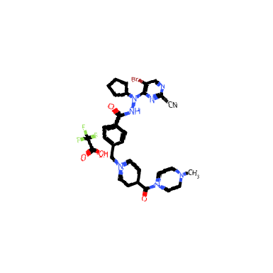 CN1CCN(C(=O)C2CCN(Cc3ccc(C(=O)NN(c4nc(C#N)ncc4Br)C4CCCC4)cc3)CC2)CC1.O=C(O)C(F)(F)F